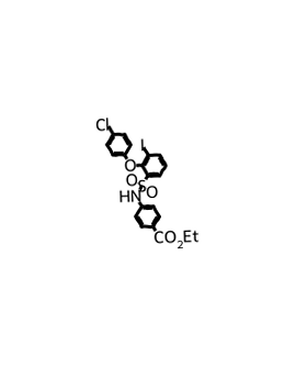 CCOC(=O)c1ccc(NS(=O)(=O)c2cccc(I)c2Oc2ccc(Cl)cc2)cc1